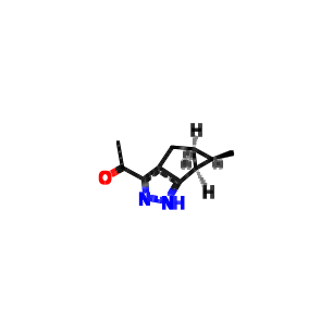 CC(=O)c1n[nH]c2c1C[C@H]1[C@@H](C)[C@@H]21